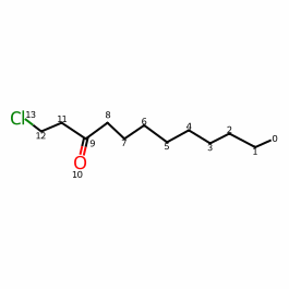 CCCCCCCCCC(=O)CCCl